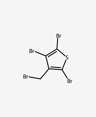 BrCc1c(Br)sc(Br)c1Br